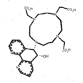 O=C(O)CN1CCN(CC(=O)O)CCN([C@H]2c3cccnc3-c3ncccc3[C@H]2O)CCN(CC(=O)O)CC1